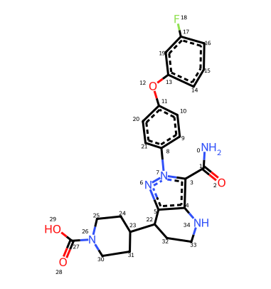 NC(=O)c1c2c(nn1-c1ccc(Oc3cccc(F)c3)cc1)C(C1CCN(C(=O)O)CC1)CCN2